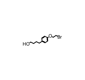 OCCCCc1ccc(OCCBr)cc1